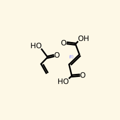 C=CC(=O)O.O=C(O)/C=C/C(=O)O